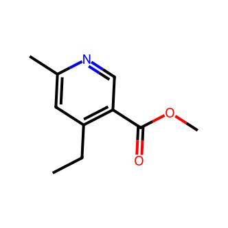 CCc1cc(C)ncc1C(=O)OC